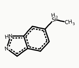 C[SiH2]c1ccc2cn[nH]c2c1